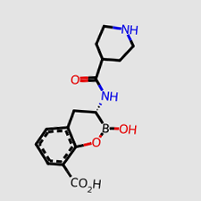 O=C(O)c1cccc2c1OB(O)[C@@H](NC(=O)C1CCNCC1)C2